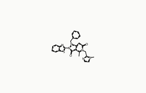 Cc1c2c(=O)n(-c3nc4ccccc4s3)n(Cc3ccccc3)c2cc(=O)n1Cc1nccn1C